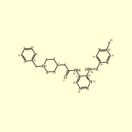 O=C(CC1CCN(Cc2ccccc2)CC1)Nc1cncnc1NCc1ccc(F)cc1